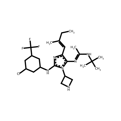 CC/C(C)=C/c1nc(NC2CC(Cl)CC(C(F)(F)F)C2)n(C2CNC2)c1/N=C(\C)NC(C)(C)C